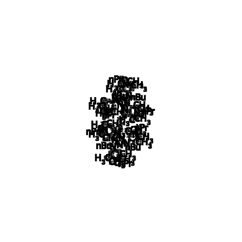 CCCCN(c1nc(N(CCCC)C2CC(C)(C)N(OCCC)C(C)(C)C2)nc(N(CCCCCCN(c2nc(N(CCCC)C3CC(C)(C)N(OCCC)C(C)(C)C3)nc(N(CCCC)C3CC(C)(C)N(OCCC)C(C)(C)C3)n2)C2CC(C)(C)N(OCCC)C(C)(C)C2)C2CC(C)(C)N(OCCC)C(C)(C)C2)n1)C1CC(C)(C)C(OCCC)C(C)(C)C1